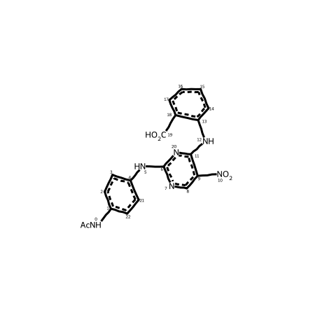 CC(=O)Nc1ccc(Nc2ncc([N+](=O)[O-])c(Nc3ccccc3C(=O)O)n2)cc1